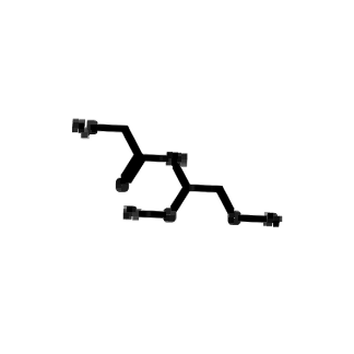 BCC(=O)NC(COC(C)C)OC(C)C